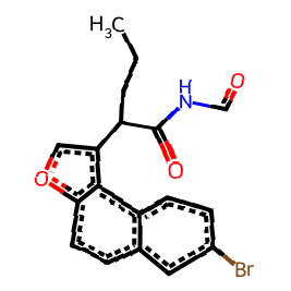 CCCC(C(=O)NC=O)c1coc2ccc3cc(Br)ccc3c12